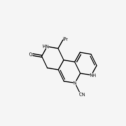 CC(C)C1NC(=O)CC2=CN(C#N)C3NC=CC=C3C21